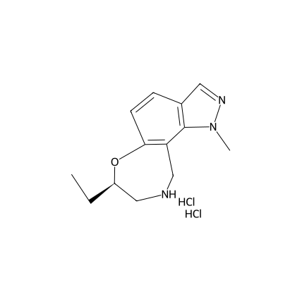 CC[C@@H]1CNCc2c(ccc3cnn(C)c23)O1.Cl.Cl